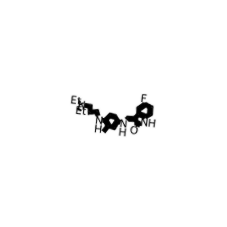 CCN(CC)CCCNc1ccc(NC=C2C(=O)Nc3ccc(F)cc32)cc1C